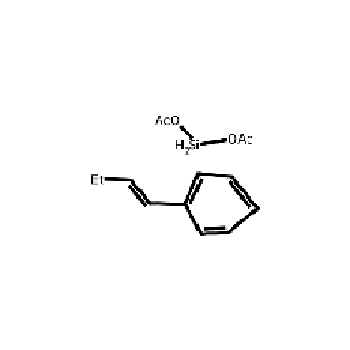 CC(=O)O[SiH2]OC(C)=O.CCC=Cc1ccccc1